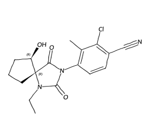 CCN1C(=O)N(c2ccc(C#N)c(Cl)c2C)C(=O)[C@]12CCC[C@H]2O